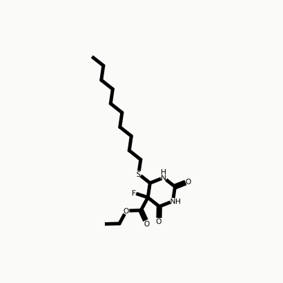 CCCCCCCCCCSC1NC(=O)NC(=O)C1(F)C(=O)OCC